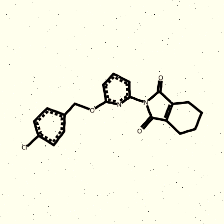 O=C1C2=C(CCCC2)C(=O)N1c1cccc(OCc2ccc(Cl)cc2)n1